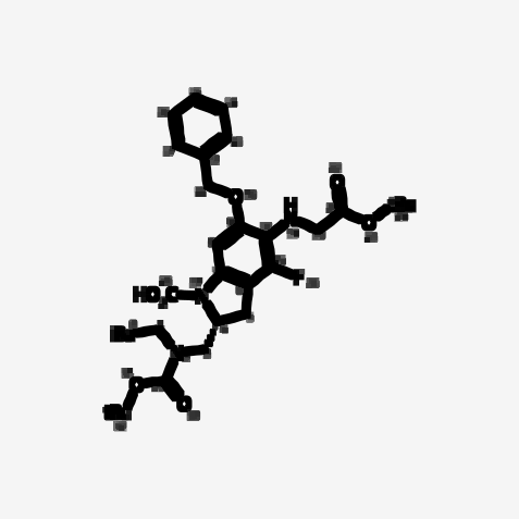 CCC(C)CN(C[C@H]1Cc2c(cc(OCc3ccccc3)c(NCC(=O)OC(C)(C)C)c2F)N1C(=O)O)C(=O)OC(C)(C)C